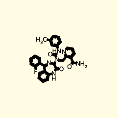 Cc1cccc(NC(=O)N(Cc2ncccc2C(N)=O)C2N=C(c3ccccc3F)c3ccccc3NC2=O)c1